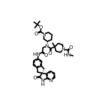 CNC(=O)N1CCC(C)(C(=O)N(CC(=O)Nc2ccc3c(c2)C[C@@]2(C3)C(=O)Nc3ncccc32)[C@H]2CCCN(C(=O)OC(C)(C)C)C2)CC1